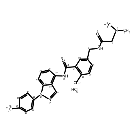 CN(C)CC(=O)NCc1ccc(Cl)c(C(=O)Nc2cccc3c2cnn3-c2ccc(C(F)(F)F)cc2)c1.Cl